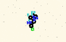 Fc1ccc(C2c3[nH]c4ccc(Cl)cc4c3CCN2c2nccc(C(F)(F)F)n2)c(F)c1